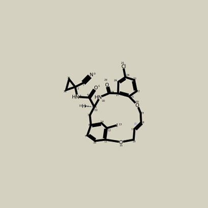 N#CC1(NC(=O)[C@@H]2Cc3ccc(c(I)c3)OC/C=C/COc3ccc(Cl)cc3C(=O)N2)CC1